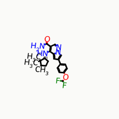 CC1CC[C@@H](Nc2c(C(N)=O)cnn3cc(-c4ccc(OC(F)F)cc4)cc23)C1(C)C